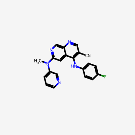 CN(c1cccnc1)c1cc2c(Nc3ccc(F)cc3)c(C#N)cnc2cn1